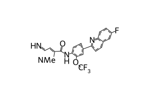 CN/C(=C\C=N)C(=O)Nc1ccc(-c2ccc3cc(F)ccc3n2)cc1OC(F)(F)F